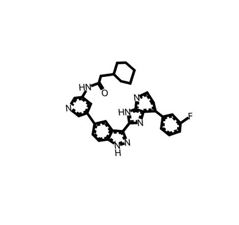 O=C(CC1CCCCC1)Nc1cncc(-c2ccc3[nH]nc(-c4nc5c(-c6cccc(F)c6)ccnc5[nH]4)c3c2)c1